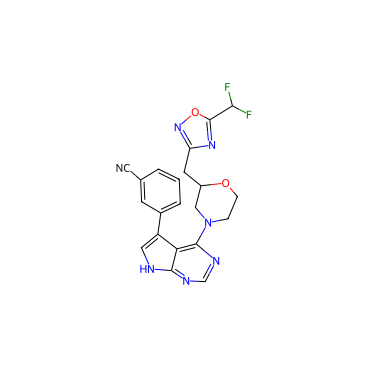 N#Cc1cccc(-c2c[nH]c3ncnc(N4CCOC(Cc5noc(C(F)F)n5)C4)c23)c1